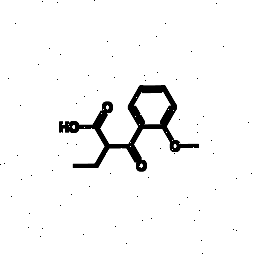 CCC(C(=O)O)C(=O)c1ccccc1OC